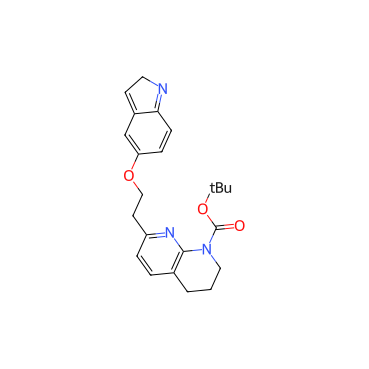 CC(C)(C)OC(=O)N1CCCc2ccc(CCOc3ccc4c(c3)=CCN=4)nc21